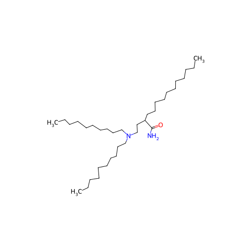 CCCCCCCCCCCC(CCN(CCCCCCCCCC)CCCCCCCCCC)C(N)=O